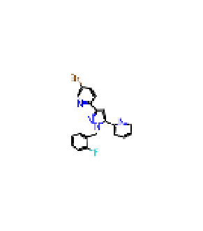 Fc1ccccc1Cn1nc(-c2ccc(Br)cn2)cc1-c1ccccn1